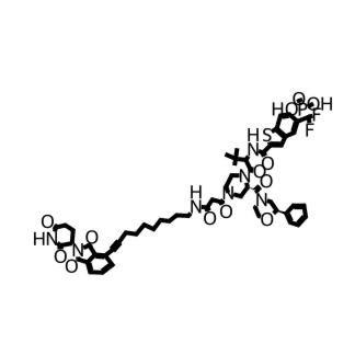 CC(C)(C)C(NC(=O)c1cc2cc(C(F)(F)P(=O)(O)O)ccc2s1)C(=O)N1CCN(C(=O)CC(=O)NCCCCCCCCC#Cc2cccc3c2C(=O)N(C2CCC(=O)NC2=O)C3=O)C[C@H]1C(=O)N1CCO[C@H](c2ccccc2)C1